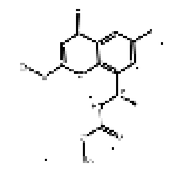 CCSc1cc(=O)c2cc(C)cc([C@@H](C)NC(=O)OC(C)(C)C)c2o1